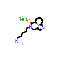 Cl.Cl.NCCCCCN1Cc2cnc3cccc(n23)C1=O